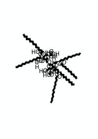 CCCCCCCCCCCCCC(=O)O[C@H](CCCCCCCCCCC)CC(=O)OC1[C@H](OP(=O)(O)O)C(CO)O[C@@H](OCC2O[C@@H](OP(=O)(O)O)C(NC(=O)C[C@H](O)CCCCCCCCCCC)[C@@H](OC(=O)C[C@H](O)CCCCCCCCCCC)[C@@H]2O)[C@H]1NC(=O)C[C@@H](CCCCCCCCCCC)OC(=O)CCCCCCCCCCC